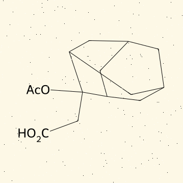 CC(=O)OC1(CC(=O)O)C2CC3CC(C2)CC1C3